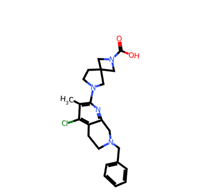 Cc1c(N2CCC3(CN(C(=O)O)C3)C2)nc2c(c1Cl)CCN(Cc1ccccc1)C2